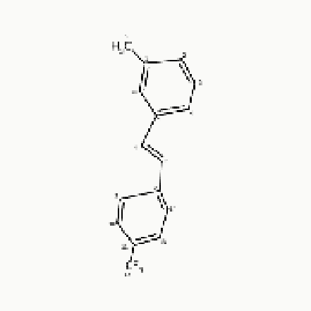 Cc1cccc(/C=C/c2ccc(C(F)(F)F)cc2)c1